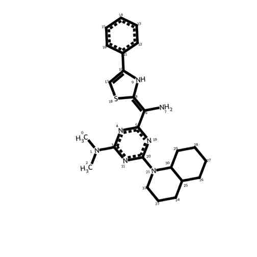 CN(C)c1nc(/C(N)=C2/NC(c3ccccc3)=CS2)nc(N2CCCC3CCCCC32)n1